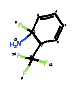 NC1(F)C=CC=CC1C(F)(F)F